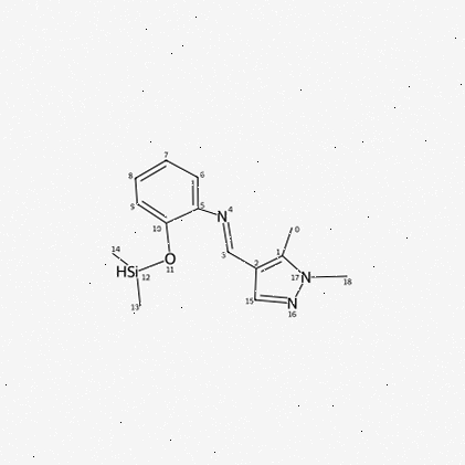 Cc1c(C=Nc2ccccc2O[SiH](C)C)cnn1C